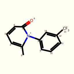 Cc1cccc(=O)n1-c1cccc(C(F)(F)F)c1